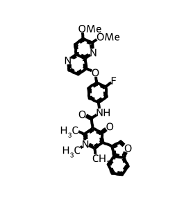 COc1cc2nccc(Oc3ccc(NC(=O)c4c(C)n(C)c(C)c(-c5coc6ccccc56)c4=O)cc3F)c2nc1OC